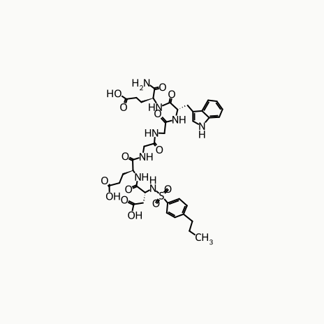 CCCc1ccc(S(=O)(=O)N[C@H](CC(=O)O)C(=O)N[C@@H](CCC(=O)O)C(=O)NCC(=O)NCC(=O)N[C@@H](Cc2c[nH]c3ccccc23)C(=O)N[C@@H](CCC(=O)O)C(N)=O)cc1